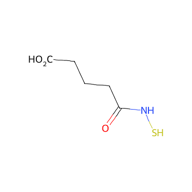 O=C(O)CCCC(=O)NS